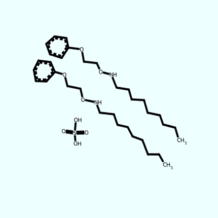 CCCCCCCCCNOCCOc1ccccc1.CCCCCCCCCNOCCOc1ccccc1.O=S(=O)(O)O